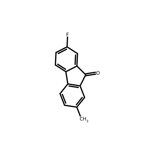 Cc1ccc2c(c1)C(=O)c1cc(F)ccc1-2